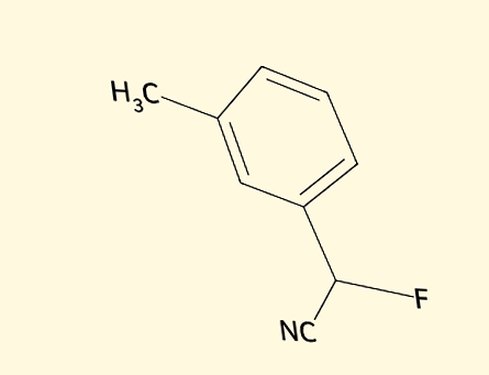 Cc1cccc(C(F)C#N)c1